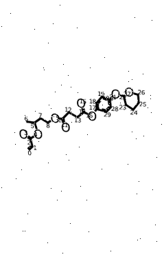 C=CC(=O)OC(C)CCOC(=O)CCC(=O)Oc1ccc(OC2CCCCO2)cc1